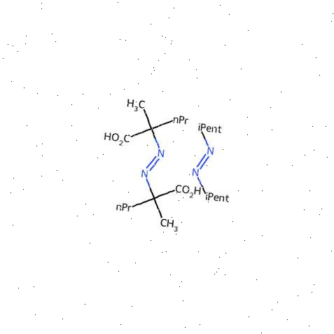 CCCC(C)(N=NC(C)(CCC)C(=O)O)C(=O)O.CCCC(C)N=NC(C)CCC